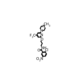 CN1CCN(c2cc(C(F)(F)F)cc(OCCCNC(=O)c3cc([N+](=O)[O-])ccc3Cl)n2)CC1